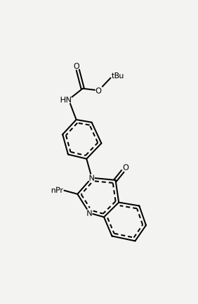 CCCc1nc2ccccc2c(=O)n1-c1ccc(NC(=O)OC(C)(C)C)cc1